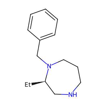 CC[C@@H]1CNCCCN1Cc1ccccc1